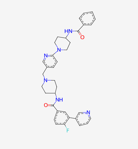 O=C(NC1CCN(Cc2ccc(N3CCC(NC(=O)c4ccccc4)CC3)nc2)CC1)c1ccc(F)c(-c2cccnc2)c1